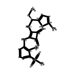 CC[C@@H](Nc1c(Nc2cccc(S(N)(=O)=O)c2O)c(=O)c1=O)c1ccc(C)o1